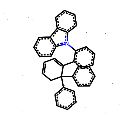 C1=CCC(c2ccccc2)(c2ccccc2)C(c2ccccc2-n2c3ccccc3c3ccccc32)=C1